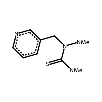 CNC(=S)N(Cc1cccnc1)NC